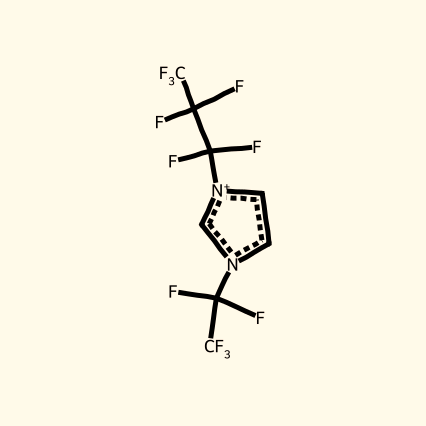 FC(F)(F)C(F)(F)n1cc[n+](C(F)(F)C(F)(F)C(F)(F)F)c1